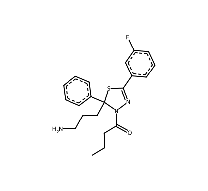 CCCC(=O)N1N=C(c2cccc(F)c2)SC1(CCCN)c1ccccc1